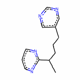 CC(CCCc1cncnc1)c1ncccn1